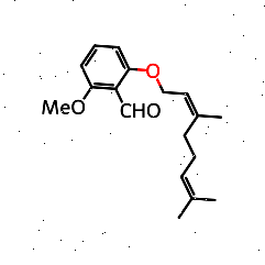 COc1cccc(OCC=C(C)CCC=C(C)C)c1C=O